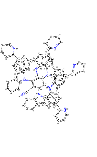 N#Cc1c(-n2c3ccccc3c3ccccc32)c(-n2c3ccc(-c4ccccn4)cc3c3cc(-c4ccccn4)ccc32)c(-n2c3ccccc3c3ccccc32)c(-n2c3ccc(-c4ccccn4)cc3c3cc(-c4ccccn4)ccc32)c1-n1c2ccccc2c2ccccc21